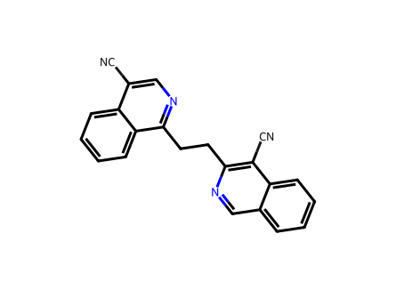 N#Cc1c(CCc2ncc(C#N)c3ccccc23)ncc2ccccc12